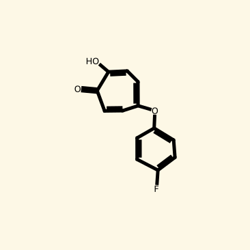 O=c1ccc(Oc2ccc(F)cc2)ccc1O